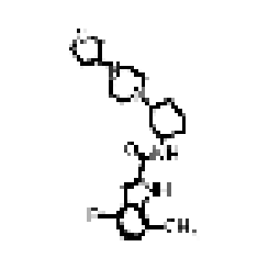 Cc1ccc(F)c2cc(C(=O)N[C@@H]3CCC[C@H](N4CCN(C5CCOC5)CC4)C3)[nH]c12